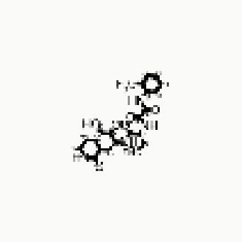 CC(C)(C)C[C@H](NC(=O)C(=O)Nc1ccccc1C(F)(F)F)C(=O)N[C@@H](CC1CCCNC1=O)C(=O)CO